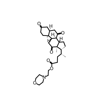 C[C@H](CCC(=O)OCCN1CCOCC1)[C@H]1CC[C@H]2[C@@H]3C(=O)C[C@@H]4CC(=O)CC[C@]4(C)[C@H]3CC(=O)[C@]12C